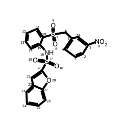 O=[N+]([O-])c1cccc(CS(=O)(=O)c2ccccc2NS(=O)(=O)c2cc3ccccc3o2)c1